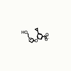 O=[N+]([O-])c1cc(O[C@@H]2CCN(CCO)C2)cc(C2CC2)c1